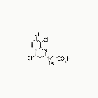 CC(C)(C)N(CC(=O)O)c1cc(Cl)c2ccc(Cl)c(Cl)c2n1